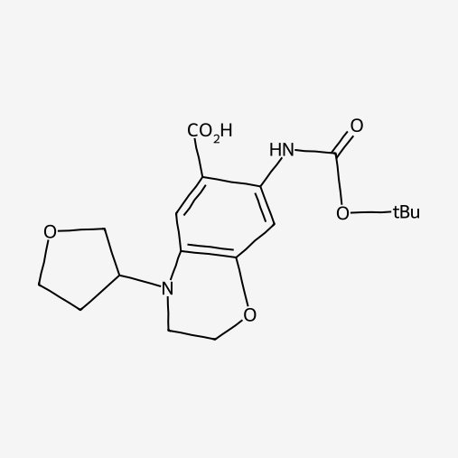 CC(C)(C)OC(=O)Nc1cc2c(cc1C(=O)O)N(C1CCOC1)CCO2